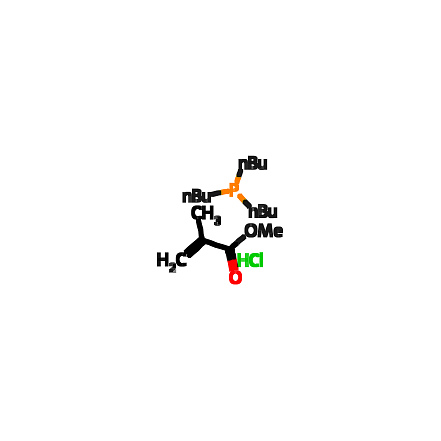 C=C(C)C(=O)OC.CCCCP(CCCC)CCCC.Cl